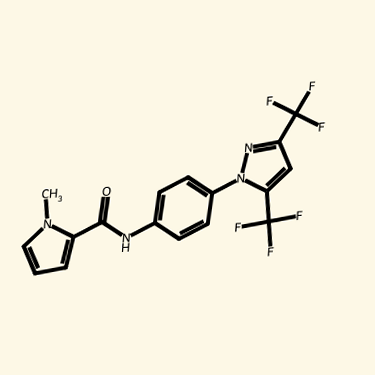 Cn1cccc1C(=O)Nc1ccc(-n2nc(C(F)(F)F)cc2C(F)(F)F)cc1